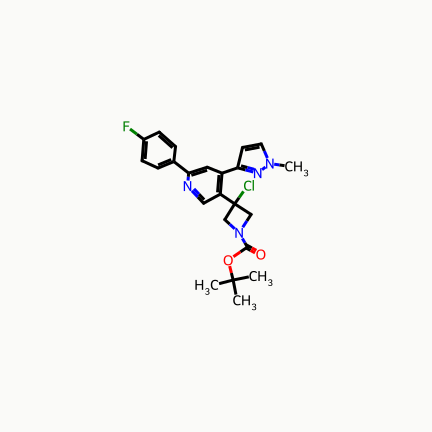 Cn1ccc(-c2cc(-c3ccc(F)cc3)ncc2C2(Cl)CN(C(=O)OC(C)(C)C)C2)n1